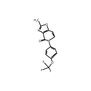 Cc1nc2c(=O)n(-c3ccc(OC(F)(F)F)cc3)ccc2o1